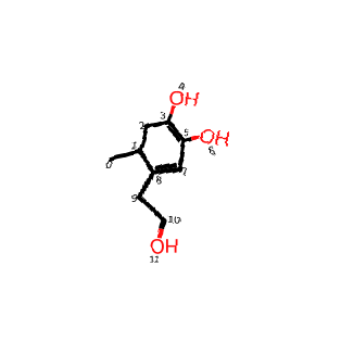 CC1CC(O)=C(O)C=C1CCO